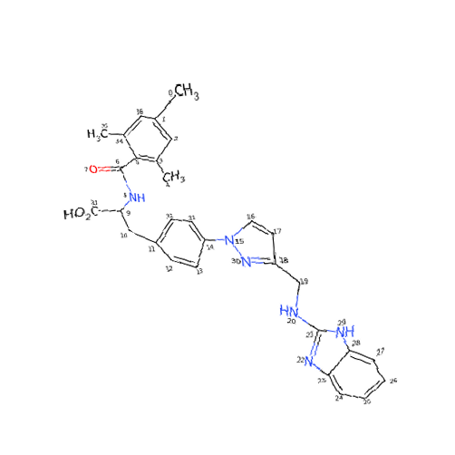 Cc1cc(C)c(C(=O)NC(Cc2ccc(-n3ccc(CNc4nc5ccccc5[nH]4)n3)cc2)C(=O)O)c(C)c1